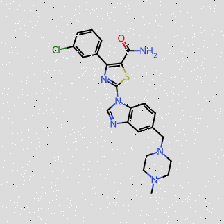 CN1CCN(Cc2ccc3c(c2)ncn3-c2nc(-c3cccc(Cl)c3)c(C(N)=O)s2)CC1